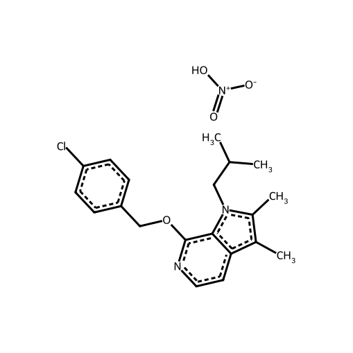 Cc1c(C)n(CC(C)C)c2c(OCc3ccc(Cl)cc3)nccc12.O=[N+]([O-])O